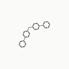 c1ccc(-c2ccc(Cc3ccc(-c4ccccc4)cc3)cc2)cc1